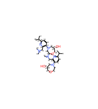 CC(C)c1ccc(N2CCOC[C@H](O)C2)c(CN(C)C2CN(c3ccc(C(C)C)nc3CN(C)C)C[C@H](O)CO2)n1